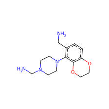 NCc1ccc2c(c1N1CCN(CN)CC1)OCCO2